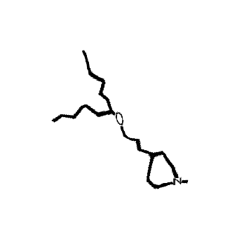 CCCCCC(CCCCC)OCCCC1CCN(C)CC1